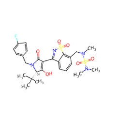 CN(C)S(=O)(=O)N(C)Cc1cccc2c1S(=O)(=O)N=C2C1=C(O)[C@H](C(C)(C)C)N(Cc2ccc(F)cc2)C1=O